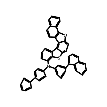 c1ccc(-c2ccc(N(c3cccc(-c4cccc5ccccc45)c3)c3cccc4c3sc3ccc5oc6c7ccccc7ccc6c5c34)cc2)cc1